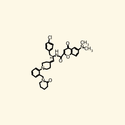 CN(C)c1ccc2oc(C(=O)N[C@@H](C=C3CCN(c4ccccc4CN4CCCCC4=O)CC3)Cc3ccc(Cl)cc3)cc(=O)c2c1